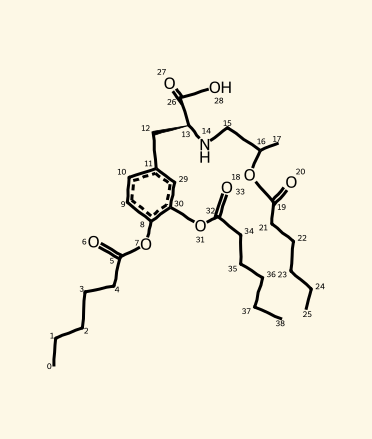 CCCCCC(=O)Oc1ccc(C[C@H](NCC(C)OC(=O)CCCCC)C(=O)O)cc1OC(=O)CCCCC